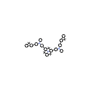 CC1(C)c2ccccc2-c2ccc(-c3ccc(N(c4ccccc4)c4ccc(-c5cc6c7c(c5)C(C)(C)c5cc(C8=CCC(N(c9ccccc9)c9ccc(C%10=CC=C%11c%12ccccc%12C(C)(C)C%11C%10)cc9)C=C8)cc8c5N7c5c(cccc5C6(C)C)C8(C)C)cc4)cc3)cc21